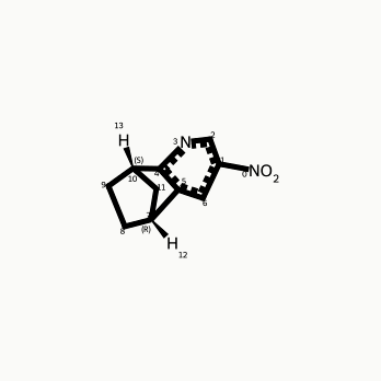 O=[N+]([O-])c1cnc2c(c1)[C@@H]1CC[C@H]2C1